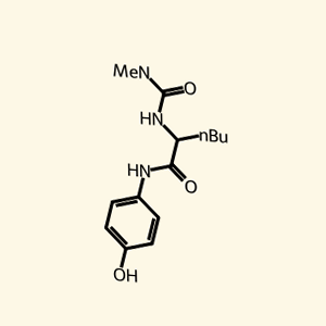 CCCCC(NC(=O)NC)C(=O)Nc1ccc(O)cc1